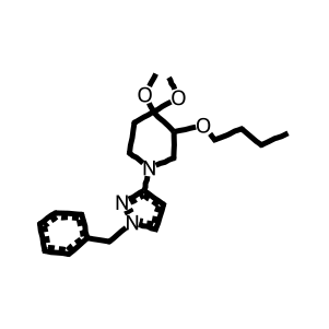 CCCCOC1CN(c2ccn(Cc3ccccc3)n2)CCC1(OC)OC